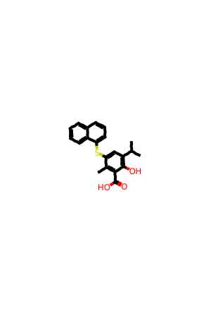 Cc1c(Sc2cccc3ccccc23)cc(C(C)C)c(O)c1C(=O)O